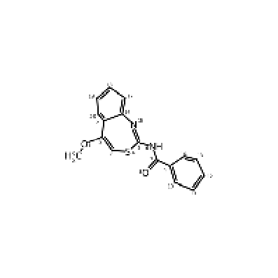 COC1=CSC(NC(=O)c2ccccc2)=Nc2ccccc21